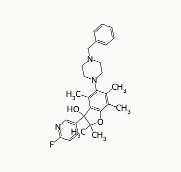 Cc1c(C)c(N2CCN(Cc3ccccc3)CC2)c(C)c2c1OC(C)(C)C2(O)c1ccc(F)nc1